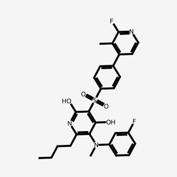 CCCCc1nc(O)c(S(=O)(=O)c2ccc(-c3ccnc(F)c3C)cc2)c(O)c1N(C)c1cccc(F)c1